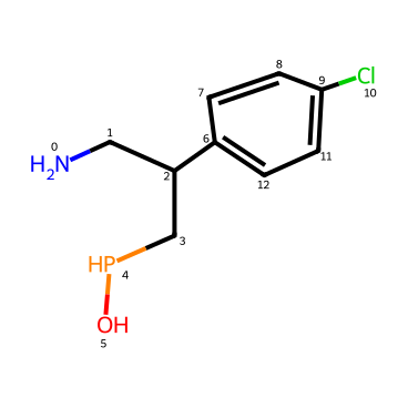 NCC(CPO)c1ccc(Cl)cc1